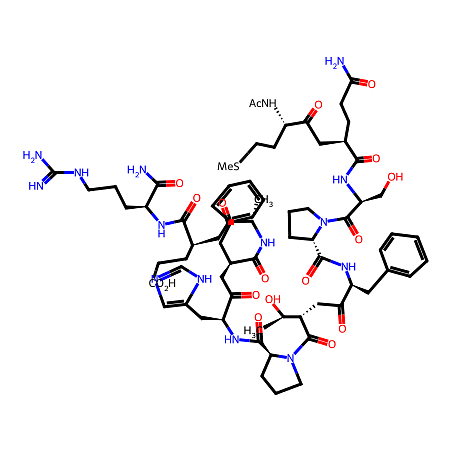 CSCC[C@H](NC(C)=O)C(=O)C[C@@H](CCC(N)=O)C(=O)N[C@@H](CO)C(=O)N1CCC[C@H]1C(=O)N[C@@H](Cc1ccccc1)C(=O)C[C@H](C(=O)N1CCC[C@H]1C(=O)N[C@@H](Cc1cnc[nH]1)C(=O)C[C@@H](Cc1ccccc1)C(=O)N[C@@H](C)C(=O)C[C@@H](CCC(=O)O)C(=O)N[C@@H](CCCNC(=N)N)C(N)=O)[C@@H](C)O